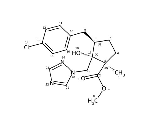 COC(=O)[C@]1(C)CC[C@H](Cc2ccc(Cl)cc2)[C@]1(O)Cn1cncn1